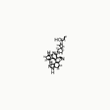 C=CC(O)N1CC2(CCN(c3nc4c(c(-c5c(C)ccc6[nH]ncc56)c3C#N)[C@H]3CC[C@@H]4C3)C2)C1